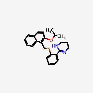 CC(C)Oc1ccc2ccccc2c1CSc1ccccc1C1=NCCCN1